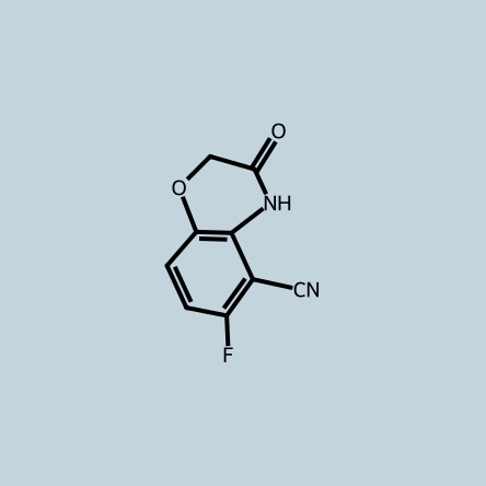 N#Cc1c(F)ccc2c1NC(=O)CO2